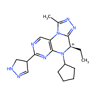 CC[C@@H]1c2nnc(C)n2-c2cnc(C3C=NNC3)nc2N1C1CCCC1